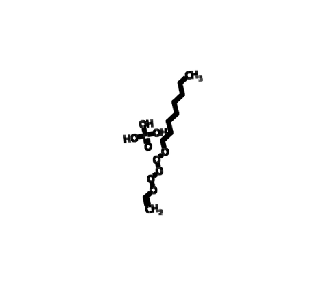 C=COOOOOCCCCCCCC.O=P(O)(O)O